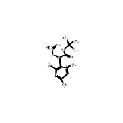 Cc1cc(C)c(N(O[SH](=O)=O)C(=O)OC(C)(C)C)c(C)c1